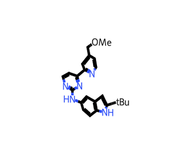 COCc1ccnc(-c2ccnc(Nc3ccc4[nH]c(C(C)(C)C)cc4c3)n2)c1